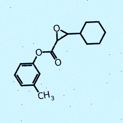 Cc1cccc(OC(=O)C2OC2C2CCCCC2)c1